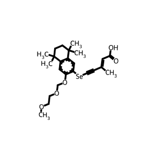 COCCOCOc1cc2c(cc1[Se]C#CC(C)=CC(=O)O)C(C)(C)CCC2(C)C